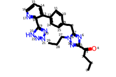 CCCC(=O)c1nc(Cc2ccc(-c3cccnc3-c3nnn[nH]3)cc2)n(CCC)n1